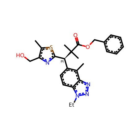 CCn1nnc2c(C)c([C@@H](c3nc(CO)c(C)s3)C(C)(C)C(=O)OCc3ccccc3)ccc21